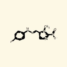 Cn1c(C=NNc2ccc(F)cc2)cnc1[N+](=O)[O-]